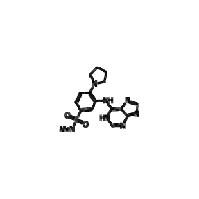 CNS(=O)(=O)c1ccc(N2CCCC2)c(Nc2[nH]cnc3ncnc2-3)c1